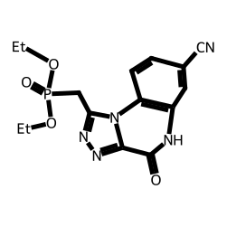 CCOP(=O)(Cc1nnc2c(=O)[nH]c3cc(C#N)ccc3n12)OCC